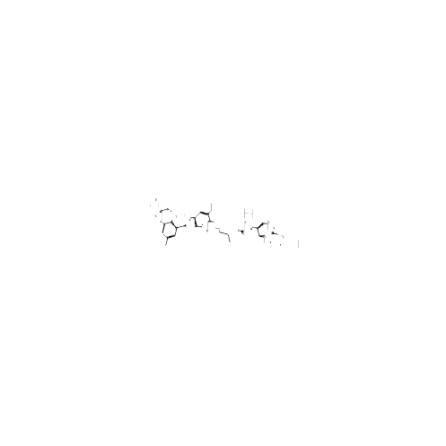 COc1cnc2c(-c3nc4cc(F)c(OCC(C)OC(=O)Nc5cnc(C(=O)O)nc5)nc4s3)cc(C)cc2n1